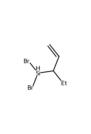 C=CC(CC)[SiH](Br)Br